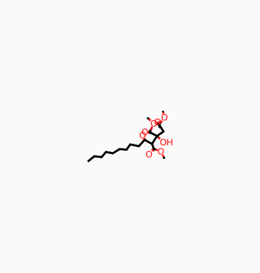 CCCCCCCCCC(=O)C(C(=O)OC)C(O)(CC(=O)OC)C(=O)OC